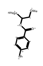 CCCCCCCC(COC)OC(=O)c1ccc(CCC)cc1